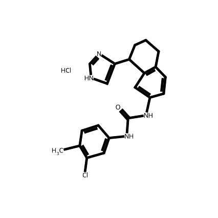 Cc1ccc(NC(=O)Nc2ccc3c(c2)C(c2c[nH]cn2)CCC3)cc1Cl.Cl